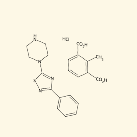 Cc1c(C(=O)O)cccc1C(=O)O.Cl.c1ccc(-c2nsc(N3CCNCC3)n2)cc1